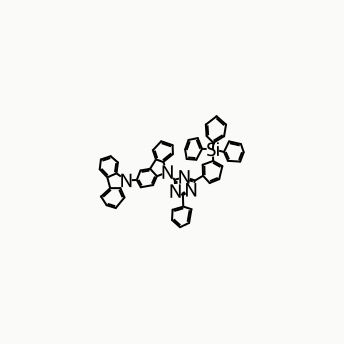 c1ccc(-c2nc(-c3cccc([Si](c4ccccc4)(c4ccccc4)c4ccccc4)c3)nc(-n3c4ccccc4c4cc(-n5c6ccccc6c6ccccc65)ccc43)n2)cc1